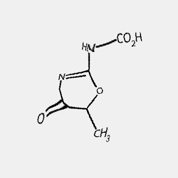 CC1OC(NC(=O)O)=NC1=O